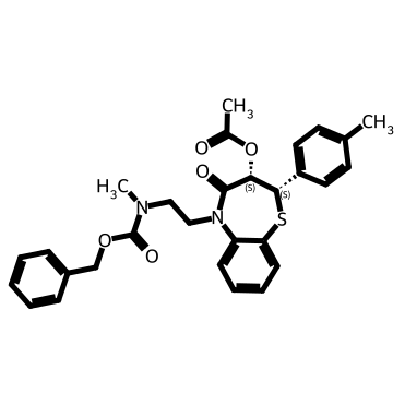 CC(=O)O[C@H]1C(=O)N(CCN(C)C(=O)OCc2ccccc2)c2ccccc2S[C@H]1c1ccc(C)cc1